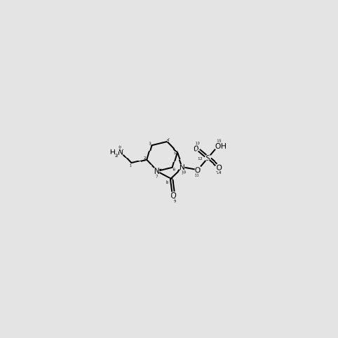 NCC1CCC2CN1C(=O)N2OS(=O)(=O)O